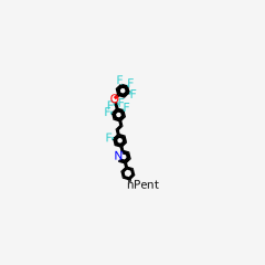 CCCCCC1CCC(c2ccc(-c3ccc(CCc4cc(F)c(C(F)(F)Oc5cc(F)c(F)c(F)c5)c(F)c4)c(F)c3)nc2)CC1